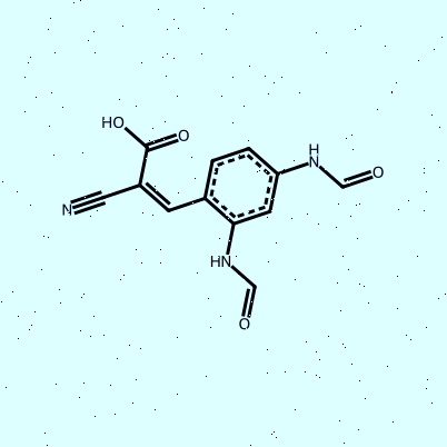 N#CC(=Cc1ccc(NC=O)cc1NC=O)C(=O)O